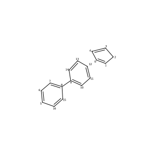 C1=CCC=C1.c1ccc(-c2ccccc2)cc1